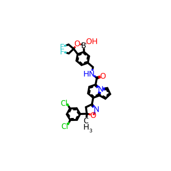 CC1(c2cc(Cl)cc(Cl)c2)CC(c2ccc(C(=O)NCc3ccc4c(c3)B(O)OC4(CF)CF)n3cccc23)=NO1